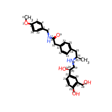 COc1ccc(CNC(=O)Cc2ccc(C[C@@H](C)NC[C@H](O)c3ccc(O)c(CO)c3)cc2)cc1